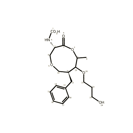 CC1OC(=O)[C@@H](NC(=O)O)COC[C@H](Cc2ccccc2)C1OCCCO